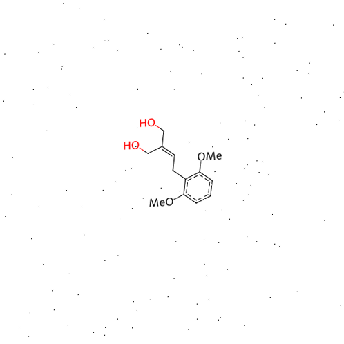 COc1cccc(OC)c1CC=C(CO)CO